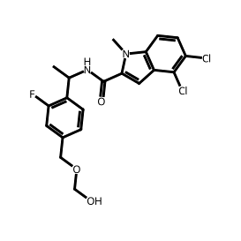 CC(NC(=O)c1cc2c(Cl)c(Cl)ccc2n1C)c1ccc(COCO)cc1F